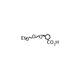 CCOCCOCCO/C=C1/CCCC(C(=O)O)C1